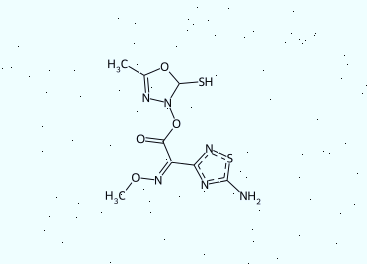 CO/N=C(\C(=O)ON1N=C(C)OC1S)c1nsc(N)n1